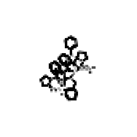 O=C(O)N1CCC[C@H]1C(=O)[N+]1(n2c([N+]3(C(=O)[C@@]4(Cc5ccccc5)CCCN4C(=O)O)C4=CC=C3C=C4)nn(Cc3ccccc3)c2=O)C2=CC=C1C=C2